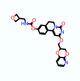 O=C(NCC1COC1)Oc1ccc2c(c1)CCn1c-2cc(OCC2COc3ncccc3O2)nc1=O